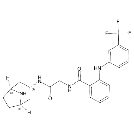 O=C(CNC(=O)c1ccccc1Nc1cccc(C(F)(F)F)c1)N[C@@H]1C[C@H]2CC[C@@H](C1)N2